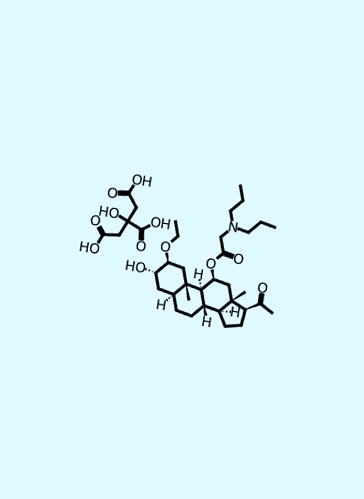 CCCN(CCC)CC(=O)O[C@H]1C[C@]2(C)[C@@H](C(C)=O)CC[C@H]2[C@@H]2CC[C@H]3C[C@H](O)[C@@H](OCC)C[C@]3(C)[C@H]21.O=C(O)CC(O)(CC(=O)O)C(=O)O